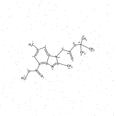 COC(=O)c1cc(C)cc2c1nc(C)n2CC(=O)OC(C)(C)C